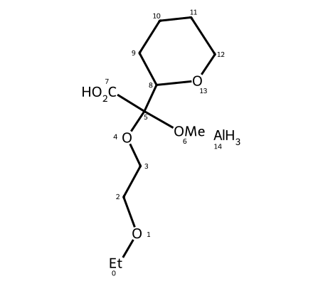 CCOCCOC(OC)(C(=O)O)C1CCCCO1.[AlH3]